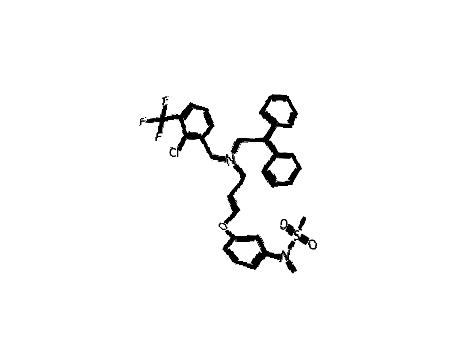 CN(c1cccc(OCCCN(Cc2cccc(C(F)(F)F)c2Cl)CC(c2ccccc2)c2ccccc2)c1)S(C)(=O)=O